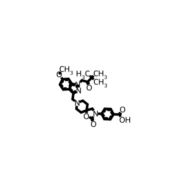 COc1ccc2c(CN3CCC4(CC3)CN(c3ccc(C(=O)O)cc3)C(=O)O4)nn(CC(=O)C(C)(C)C)c2c1